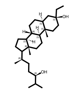 CC[C@]1(O)CC[C@@]2(C)[C@@H](CC[C@@H]3[C@@H]2CC[C@]2(C)C([C@H](C)CC[C@@H](O)C(C)C)CC[C@@H]32)C1